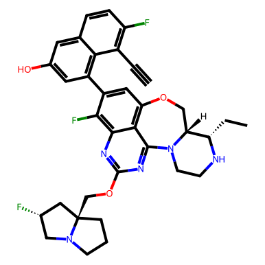 C#Cc1c(F)ccc2cc(O)cc(-c3cc4c5c(nc(OC[C@@]67CCCN6C[C@H](F)C7)nc5c3F)N3CCN[C@@H](CC)[C@H]3CO4)c12